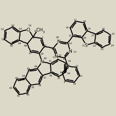 CC12C=C(c3nc(-c4ccccc4)nc(-c4cccc5c4sc4ccccc45)n3)C(n3c4ccccc4c4cc5ccccc5cc43)=CC1c1ccccc1O2